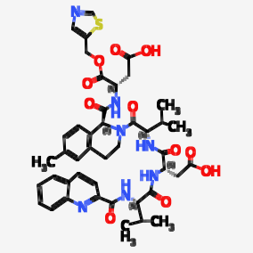 Cc1ccc2c(c1)CCN(C(=O)[C@@H](NC(=O)[C@H](CC(=O)O)NC(=O)[C@@H](NC(=O)c1ccc3ccccc3n1)C(C)C)C(C)C)[C@@H]2C(=O)N[C@@H](CC(=O)O)C(=O)OCc1cncs1